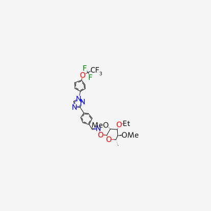 CCO[C@@H]1[C@@H](OC)[C@H](C)O[C@@H](O/N=C/c2ccc(-c3ncn(-c4ccc(OC(F)(F)C(F)(F)F)cc4)n3)cc2)[C@@H]1OC